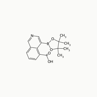 CC1(C)OB(c2cncc3cccc(C(=O)O)c23)OC1(C)C